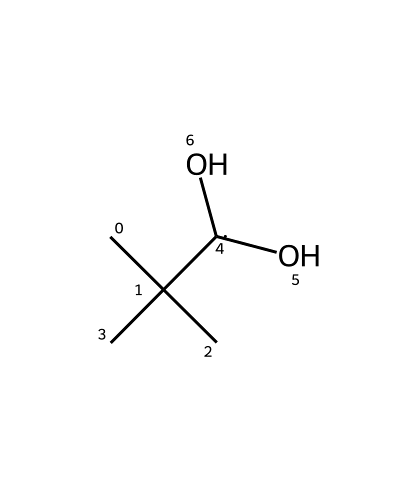 CC(C)(C)[C](O)O